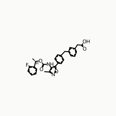 Cc1noc(-c2ccc(Cc3cccc(CC(=O)O)c3)cc2)c1NC(=O)O[C@H](C)c1ccccc1F